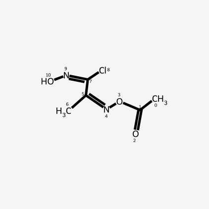 CC(=O)O/N=C(C)\C(Cl)=N/O